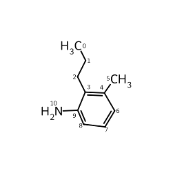 CCCc1c(C)cccc1N